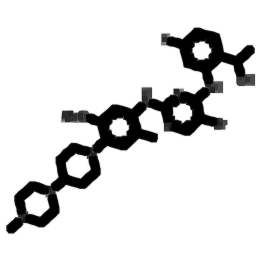 COc1cc(Nc2ncc(Br)c(Nc3cc(F)ccc3C(C)O)n2)c(C)cc1N1CCC(N2CCN(C)CC2)CC1